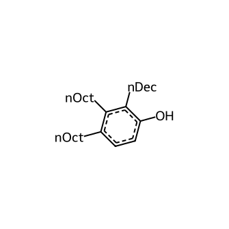 CCCCCCCCCCc1c(O)ccc(CCCCCCCC)c1CCCCCCCC